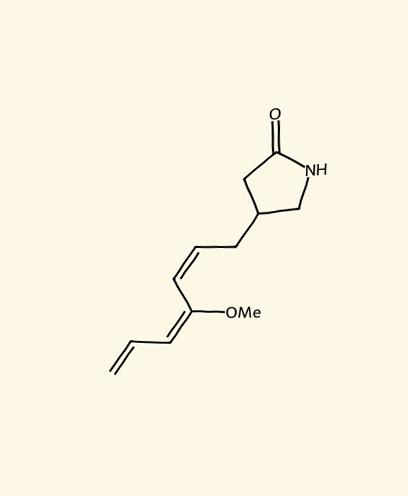 C=C/C=C(\C=C/CC1CNC(=O)C1)OC